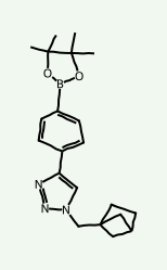 CC1(C)OB(c2ccc(-c3cn(CC45CCC(C4)C5)nn3)cc2)OC1(C)C